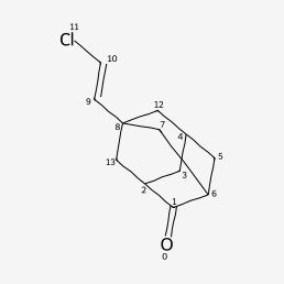 O=C1C2CC3CC1CC(C=CCl)(C3)C2